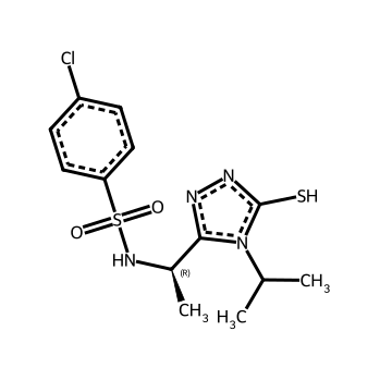 CC(C)n1c(S)nnc1[C@@H](C)NS(=O)(=O)c1ccc(Cl)cc1